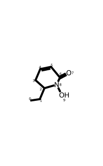 CCC1CC=CC(=O)N1O